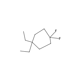 CCC1(CC)CCC(F)(F)CC1